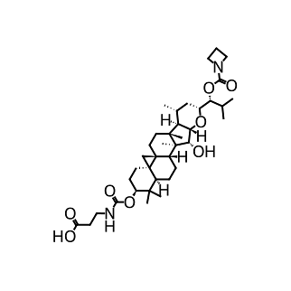 CC(C)[C@@H](OC(=O)N1CCC1)[C@H]1C[C@@H](C)[C@H]2[C@H](O1)[C@H](O)[C@@]1(C)[C@@H]3CC[C@H]4C(C)(C)[C@@H](OC(=O)NCCC(=O)O)CC[C@@]45C[C@@]35CC[C@]21C